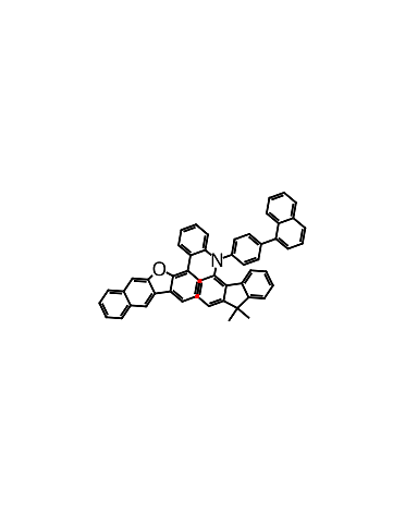 CC1(C)c2ccccc2-c2c(N(c3ccc(-c4cccc5ccccc45)cc3)c3ccccc3-c3cccc4c3oc3cc5ccccc5cc34)cccc21